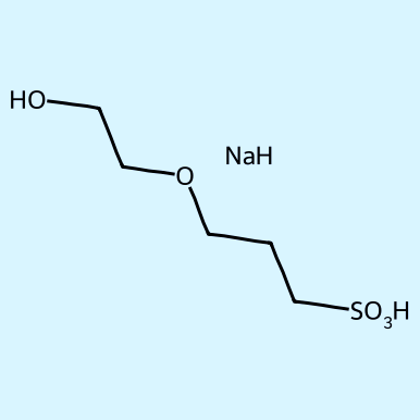 O=S(=O)(O)CCCOCCO.[NaH]